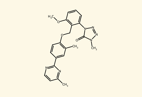 COc1cccc(-n2nnn(C)c2=O)c1COc1ccc(-c2nccc(C)n2)cc1C